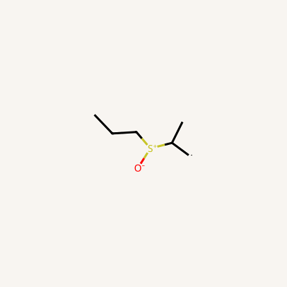 [CH2]C(C)[S+]([O-])CCC